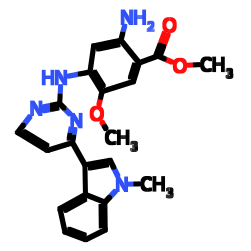 COC(=O)c1cc(OC)c(Nc2nccc(-c3cn(C)c4ccccc34)n2)cc1N